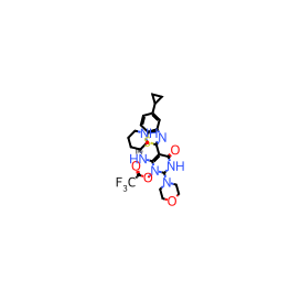 O=C1NC(N2CCOCC2)N(OC(=O)C(F)(F)F)C(N[C@@H]2CCCNC2)=C1c1nc2cc(C3CC3)ccc2s1